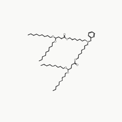 CCCCCCCCCOC(CCC(=O)OCCCCCCCN(CCCCCCCOC(=O)CCC(OCCCCCCCCC)OCCCCCCCCC)Cc1ccccc1)OCCCCCCCCC